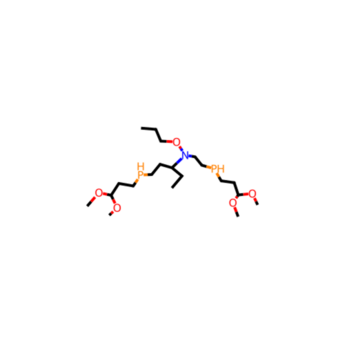 CCCON(CCPCCC(OC)OC)C(CC)CCPCCC(OC)OC